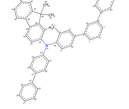 Cc1cc(-c2cccc(-c3ccccc3)c2)ccc1N(c1ccc(-c2ccccc2)cc1)c1ccc2c(c1)C(C)(C)c1ccccc1-2